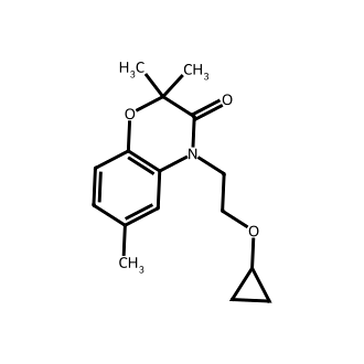 Cc1ccc2c(c1)N(CCOC1CC1)C(=O)C(C)(C)O2